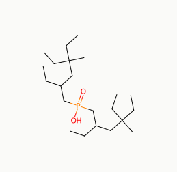 CCC(CC(C)(CC)CC)CP(=O)(O)CC(CC)CC(C)(CC)CC